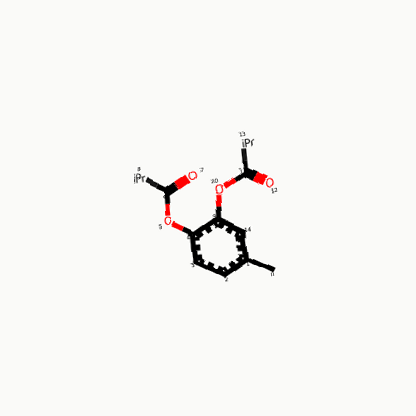 Cc1ccc(OC(=O)C(C)C)c(OC(=O)C(C)C)c1